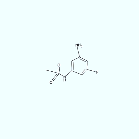 CS(=O)(=O)Nc1cc(N)cc(F)c1